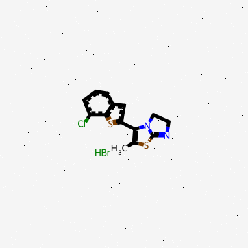 Br.CC1=C(c2cc3cccc(Cl)c3s2)N2CCN=C2S1